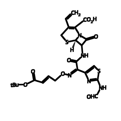 C=CC1=C(C(=O)O)N2C(=O)C(NC(=O)/C(=N\OC/C=C/C(=O)OC(C)(C)C)c3csc(NC=O)n3)[C@H]2SC1